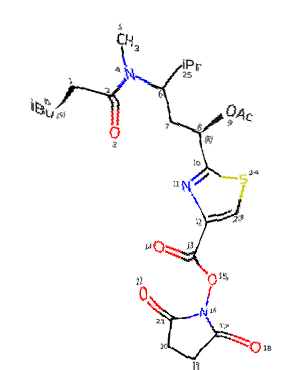 CC[C@H](C)CC(=O)N(C)C(C[C@@H](OC(C)=O)c1nc(C(=O)ON2C(=O)CCC2=O)cs1)C(C)C